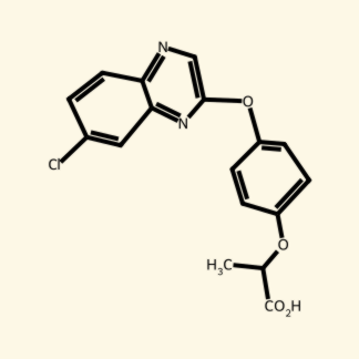 CC(Oc1ccc(Oc2cnc3ccc(Cl)cc3n2)cc1)C(=O)O